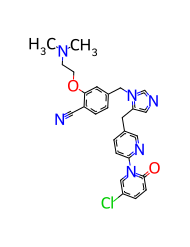 CN(C)CCOc1cc(Cn2cncc2Cc2ccc(-n3cc(Cl)ccc3=O)nc2)ccc1C#N